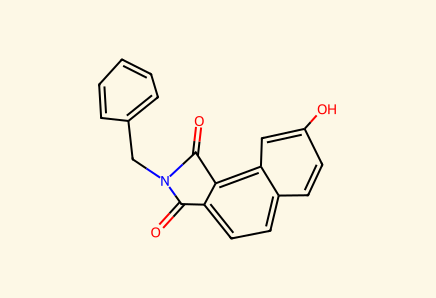 O=C1c2ccc3ccc(O)cc3c2C(=O)N1Cc1ccccc1